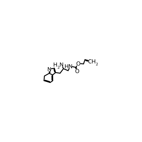 C=CCOC(=O)NCC(N)CC1=CN=C2CC=CC=C12